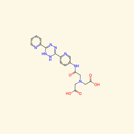 O=C(O)CN(CC(=O)O)CC(=O)Nc1ccc(C2=NN=C(c3ccccn3)NN2)nc1